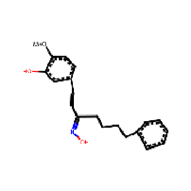 COc1ccc(/C=C/C(CCCCc2ccccc2)=N/O)cc1O